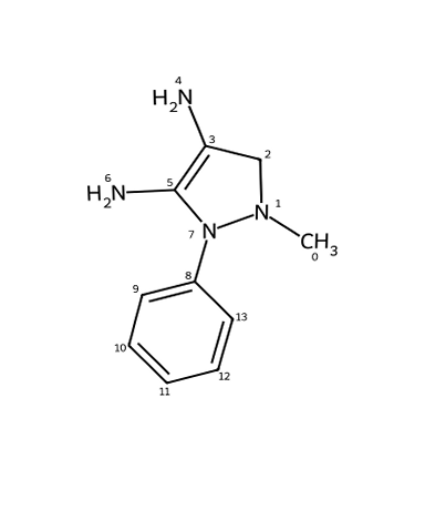 CN1CC(N)=C(N)N1c1ccccc1